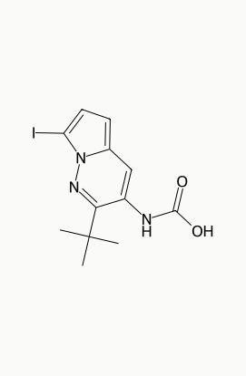 CC(C)(C)c1nn2c(I)ccc2cc1NC(=O)O